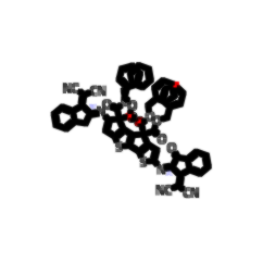 N#CC(C#N)=C1/C(=N/C2=Cc3sc4c(c3C2(C(=O)OCc2ccccc2)C(=O)OCc2ccccc2)C(C(=O)OCc2ccccc2)(C(=O)OCc2ccccc2)c2cc(/N=C3\C(=O)c5ccccc5C3=C(C#N)C#N)sc2-4)Cc2ccccc21